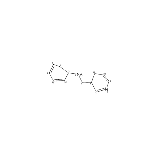 C1=CCC(NCC2C=NC=CC2)C=C1